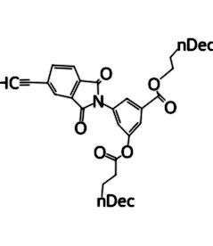 C#Cc1ccc2c(c1)C(=O)N(c1cc(OC(=O)CCCCCCCCCCCC)cc(C(=O)OCCCCCCCCCCCC)c1)C2=O